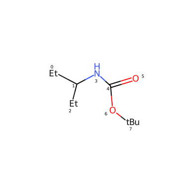 [CH2]CC(CC)NC(=O)OC(C)(C)C